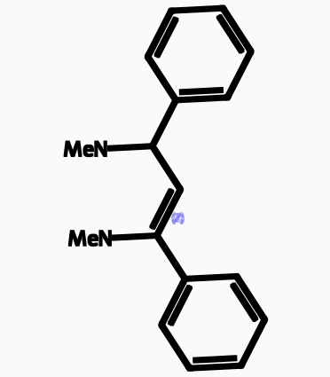 CN/C(=C\C(NC)c1ccccc1)c1ccccc1